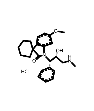 CNC[C@@H](O)[C@H](c1ccccc1)N1C(=O)C2(CCCCC2)c2ccc(OC)cc21.Cl